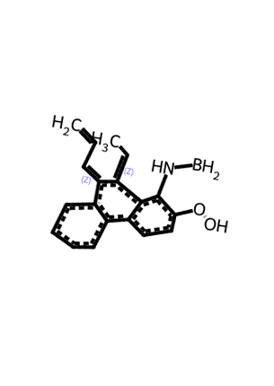 BNc1c(OO)ccc2c1c(=C/C)/c(=C\C=C)c1ccccc12